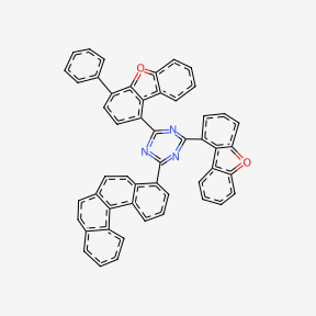 c1ccc(-c2ccc(-c3nc(-c4cccc5c4ccc4ccc6ccccc6c45)nc(-c4cccc5oc6ccccc6c45)n3)c3c2oc2ccccc23)cc1